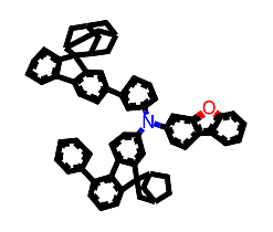 c1ccc(-c2cccc3c2-c2ccc(N(c4cccc(-c5ccc6c(c5)C5(c7ccccc7-6)C6CC7CC(C6)CC5C7)c4)c4ccc5c(c4)oc4ccccc45)cc2C32CC3CCC2C3)cc1